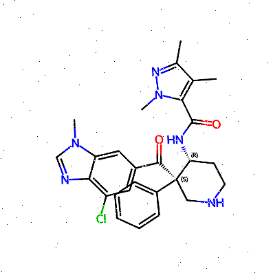 Cc1nn(C)c(C(=O)N[C@@H]2CCNC[C@@]2(C(=O)c2cc(Cl)c3ncn(C)c3c2)c2ccccc2)c1C